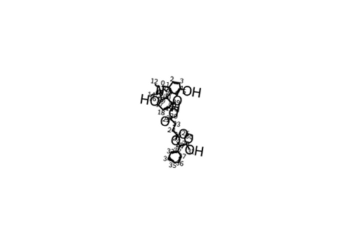 Cc1ccc(O)c2c1[C@]13CCN(C)[C@H](C)[C@]1(O)CC=C(OC(=O)CCC(=O)O[C@H](C(=O)O)c1ccccc1)[C@@H]3O2